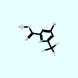 COC(=O)c1cc(Br)cc(C(F)(F)F)n1